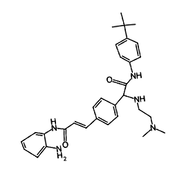 CN(C)CCNC(C(=O)Nc1ccc(C(C)(C)C)cc1)c1ccc(C=CC(=O)Nc2ccccc2N)cc1